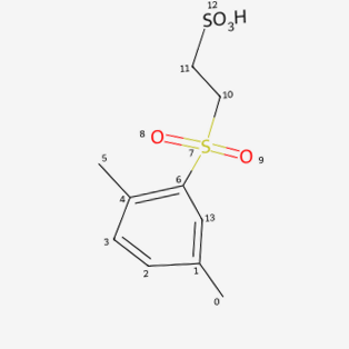 Cc1ccc(C)c(S(=O)(=O)CCS(=O)(=O)O)c1